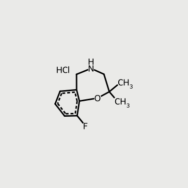 CC1(C)CNCc2cccc(F)c2O1.Cl